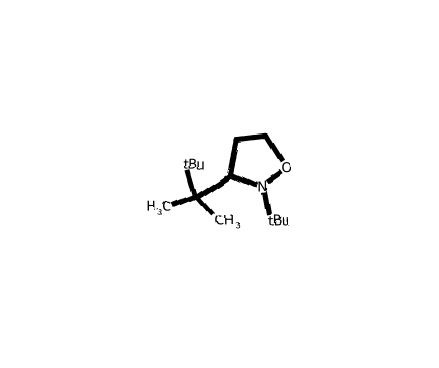 CC(C)(C)N1OCCC1C(C)(C)C(C)(C)C